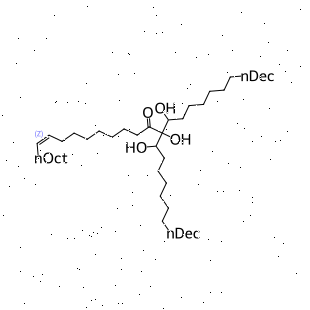 CCCCCCCC/C=C\CCCCCCCC(=O)C(O)(C(O)CCCCCCCCCCCCCCCC)C(O)CCCCCCCCCCCCCCCC